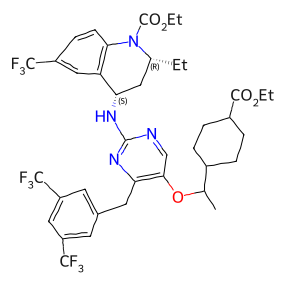 CCOC(=O)C1CCC(C(C)Oc2cnc(N[C@H]3C[C@@H](CC)N(C(=O)OCC)c4ccc(C(F)(F)F)cc43)nc2Cc2cc(C(F)(F)F)cc(C(F)(F)F)c2)CC1